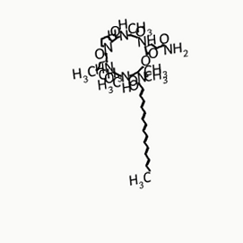 CC/C=C/C=C/C=C/C=C/C=C/C=C/C=C/C(=O)N(C)[C@@H]1C(=O)N[C@H](C)C(=O)N[C@@H](CC(C)C)C(=O)N2CCC[C@@H]2C(=O)N[C@@H](C)C(=O)N[C@@H](CCC(N)=O)C(=O)O[C@@H]1C